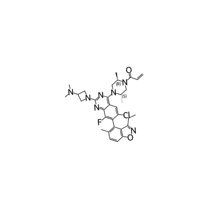 C=CC(=O)N1C[C@H](C)N(c2nc(N3CC(N(C)C)C3)nc3c(F)c(-c4c(C)ccc5onc(CC)c45)c(Cl)cc23)C[C@H]1C